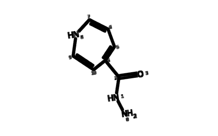 NNC(=O)C1=CC=CNC=C1